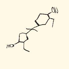 CCC1CC(C(C)(C)C2CCC(O)C(CC)C2)CCC1O